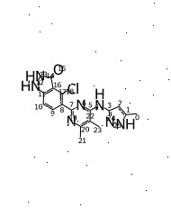 Cc1cc(Nc2nc(-c3ccc4[nH][nH]c(=O)c4c3Cl)nc(C)c2C)n[nH]1